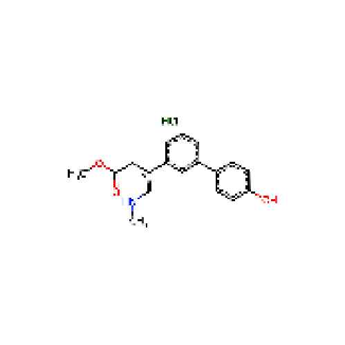 CNC[C@@H](CC(=O)OC)c1cccc(-c2ccc(O)cc2)c1.Cl